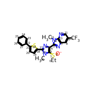 CC[S+]([O-])c1c(-c2nc3cc(C(F)(F)F)cnc3n2C)nc(-c2ccc(-c3ccccc3)s2)n1C